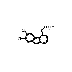 CCOC(=O)Cc1cccc2oc3cc(Cl)c(Cl)cc3c12